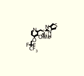 COc1c(OCC(F)(F)C(F)(F)F)ccnc1C[S+]([O-])c1nc2cscc2[nH]1